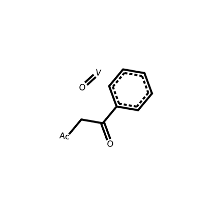 CC(=O)CC(=O)c1ccccc1.[O]=[V]